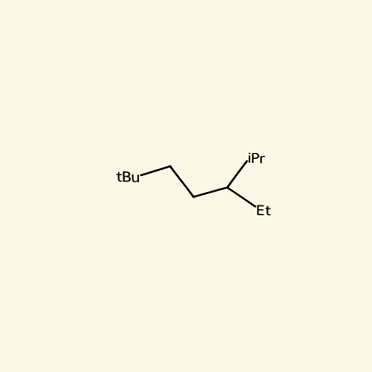 CCC(CCC(C)(C)C)C(C)C